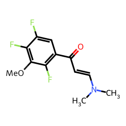 COc1c(F)c(F)cc(C(=O)C=CN(C)C)c1F